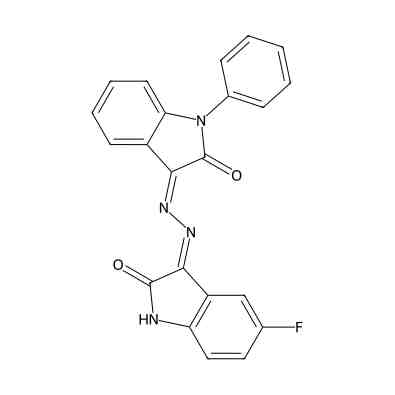 O=C1Nc2ccc(F)cc2/C1=N/N=C1\C(=O)N(c2ccccc2)c2ccccc21